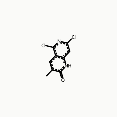 Cc1cc2c(Cl)nc(Cl)cc2[nH]c1=O